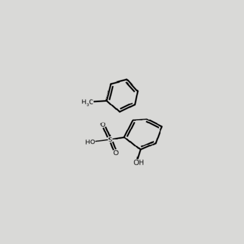 Cc1ccccc1.O=S(=O)(O)c1ccccc1O